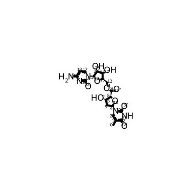 Cc1cn([C@H]2C[C@H](O)[C@@H](C([O])OC[C@H]3O[C@@H](n4ccc(N)nc4=O)[C@H](O)[C@@H]3O)O2)c(=O)[nH]c1=O